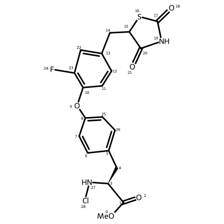 COC(=O)[C@H](Cc1ccc(Oc2ccc(CC3SC(=O)NC3=O)cc2F)cc1)NCl